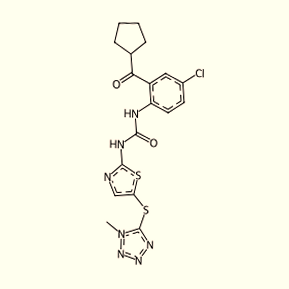 Cn1nnnc1Sc1cnc(NC(=O)Nc2ccc(Cl)cc2C(=O)C2CCCC2)s1